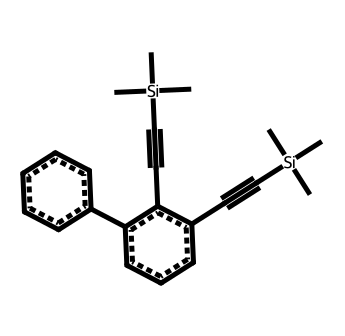 C[Si](C)(C)C#Cc1cccc(-c2ccccc2)c1C#C[Si](C)(C)C